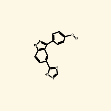 [CH2]COc1ccc(-c2n[nH]c3ccc(-c4ncn[nH]4)cc23)cc1